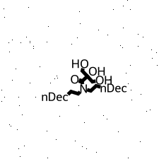 CCCCCCCCCCCCN(CCCCCCCCCCCC)C(=O)C(O)(CO)CO